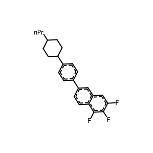 CCCC1CCC(c2ccc(-c3ccc4c(F)c(F)c(F)cc4c3)cc2)CC1